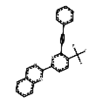 FC(F)(F)c1ccc(-c2ncc3ccccc3n2)nc1C#Cc1ccccc1